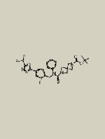 CC(C)(C)OC(=O)N1CC2(C1)CN(C(=S)N(Cc1ccc(-c3nnc(C(F)F)o3)cc1F)c1ccccc1)C2